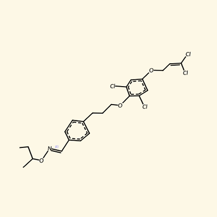 CCC(C)O/N=C/c1ccc(CCCOc2c(Cl)cc(OCC=C(Cl)Cl)cc2Cl)cc1